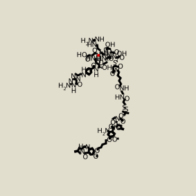 C=C1C[C@H]2C=Nc3cc(OCCCCCOc4cc(N)c(C(=O)N5CC(=C)C[C@H]5C5OCCN5C(=O)OCC(C)(C)SSCCC(=O)NCCNC(=O)CCCCCN5C(=O)CC(SC[C@H](NC(=O)[C@H](CC(=O)O)NC(=O)[C@H](CC(=O)O)NC(=O)[C@H](CCCNC(=N)N)NC(=O)[C@H](CC(=O)O)NC(=O)CC[C@@H](C)NC(=O)c6ccc(NCc7cnc8nc(N)[nH]c(=O)c8n7)cc6)C(=O)O)C5=O)cc4OC)c(OC)cc3C(=O)N2C1